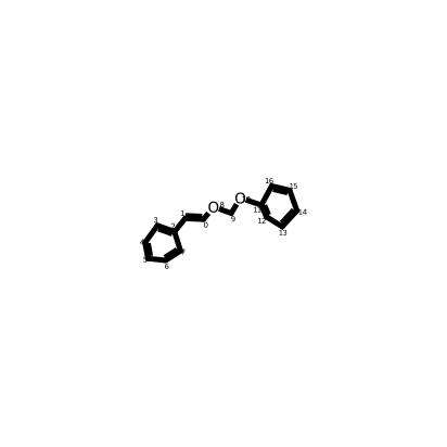 C(=C\c1ccccc1)/OCOc1ccccc1